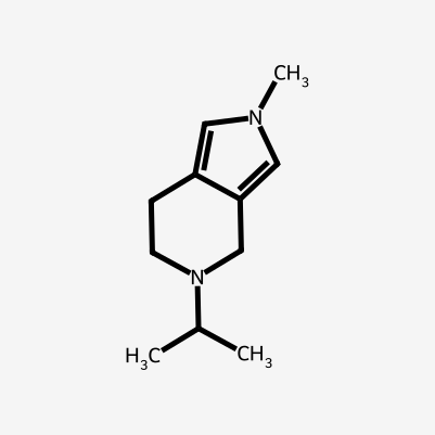 CC(C)N1CCc2cn(C)cc2C1